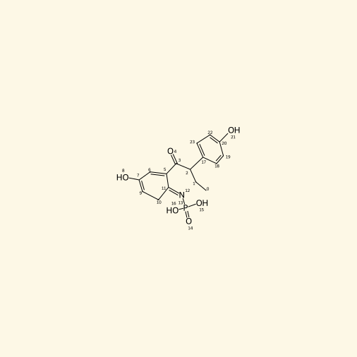 CCC(C(=O)C1=CC(O)=CCC1=NP(=O)(O)O)c1ccc(O)cc1